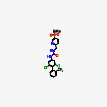 CNS(=O)(=O)c1ccc(CNC(=O)Nc2cc(Cl)c(-c3ccccc3C(F)(F)F)c(Cl)c2)nc1